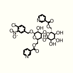 O=C(OC[C@H]1O[C@H](O[C@H]2[C@H](O)[C@@H](O)[C@H](OCc3ccc(Cl)c([N+](=O)[O-])c3)O[C@@H]2COC(=O)c2cccnc2)[C@H](O)[C@@H](O)[C@@H]1O)c1cccnc1